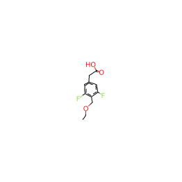 CCOCc1c(F)cc(CC(=O)O)cc1F